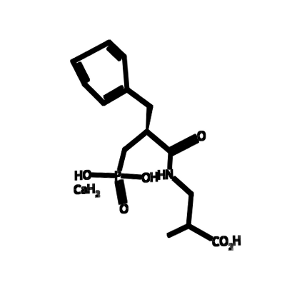 CC(CNC(=O)[C@H](Cc1ccccc1)CP(=O)(O)O)C(=O)O.[CaH2]